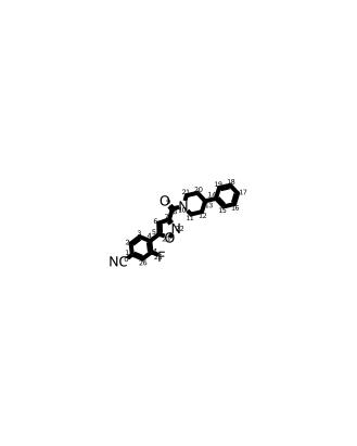 N#Cc1ccc(-c2cc(C(=O)N3CCC(c4ccccc4)CC3)no2)c(F)c1